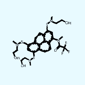 CN(CCO)Sc1cc(SN(C)CCO)c2ccc3c(N(C)C(=O)C(F)(F)F)cc(SN(C)CCO)c4ccc1c2c43